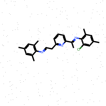 CC(=Nc1c(C)cc(C)cc1Cl)c1cccc(CC=Nc2c(C)cc(C)cc2C)n1